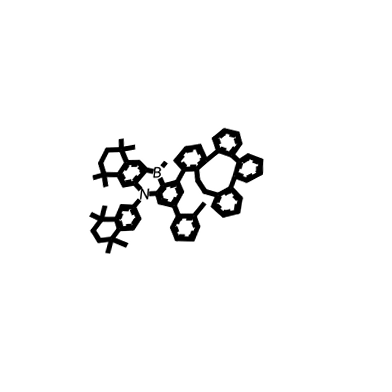 CB1c2cc3c(cc2N(c2ccc4c(c2)C(C)(C)CCC4(C)C)c2cc(-c4ccccc4C)cc(-c4cccc5c4CCc4ccccc4-c4ccccc4-c4ccccc4-5)c21)C(C)(C)CCC3(C)C